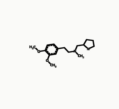 COc1ccc(CCN(C)CC2CCC[N]2)cc1OC